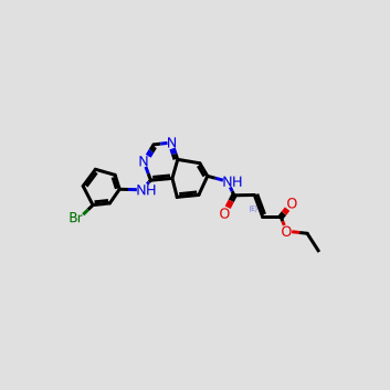 CCOC(=O)/C=C/C(=O)Nc1ccc2c(Nc3cccc(Br)c3)ncnc2c1